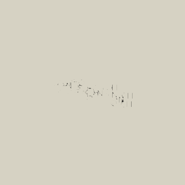 CN(C)C(=O)NC1CCN(c2ccc3c(c2)COC2(CCN(C4CCC4)CC2)O3)CC1